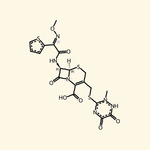 CO/N=C(/C(=O)N[C@@H]1C(=O)N2C(C(=O)O)=C(CSc3nc(=O)c(=O)[nH]n3C)CS[C@H]12)c1cccs1